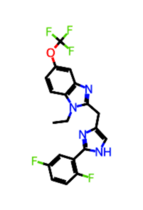 CCn1c(Cc2c[nH]c(-c3cc(F)ccc3F)n2)nc2cc(OC(F)(F)F)ccc21